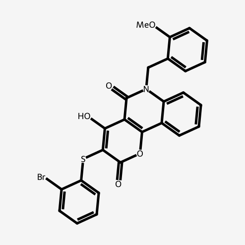 COc1ccccc1Cn1c(=O)c2c(O)c(Sc3ccccc3Br)c(=O)oc2c2ccccc21